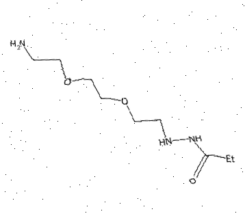 CCC(=O)NNCCOCCOCCN